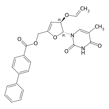 C=CO[C@@H]1C=C(COC(=O)c2ccc(-c3ccccc3)cc2)O[C@H]1n1cc(C)c(=O)[nH]c1=O